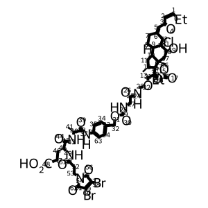 CC/C=C\C(=O)/C=C1/CC[C@H]2C3C[C@H](C)[C@](OC(=O)CC)(C(=O)COCNC(=O)CNC(=O)OCc4ccc(NC(=O)[C@H](C)NC(=O)[C@H](CCC(=O)O)NC(=O)CCN5C(=O)C(Br)=C(Br)C5=O)cc4)[C@@]3(C)C[C@H](O)[C@]2(Cl)C1